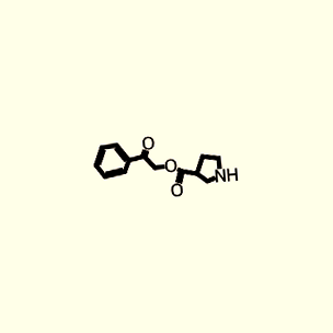 O=C(COC(=O)C1CCNC1)c1ccccc1